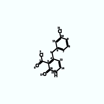 O=C(Cl)c1c(Cc2cccc(Cl)c2)cc[nH]c1=O